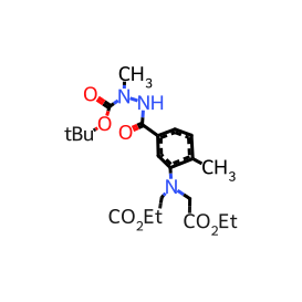 CCOC(=O)CN(CC(=O)OCC)c1cc(C(=O)NN(C)C(=O)OC(C)(C)C)ccc1C